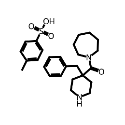 Cc1ccc(S(=O)(=O)O)cc1.O=C(N1CCCCCC1)C1(Cc2ccccc2)CCNCC1